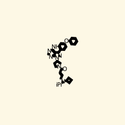 CC(C)N(CC=CC(=O)N1CCC(n2nc(-c3ccc(Oc4ccccc4)cc3)c3c(N)ncnc32)C1)C1CCC1